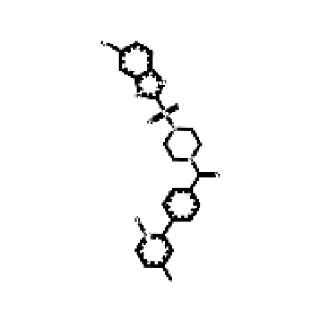 Cc1cc[n+]([O-])c(-c2ccc(C(=O)N3CCN(S(=O)(=O)c4nc5ccc(Cl)cc5[nH]4)CC3)cc2)c1